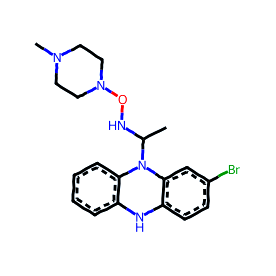 CC(NON1CCN(C)CC1)N1c2ccccc2Nc2ccc(Br)cc21